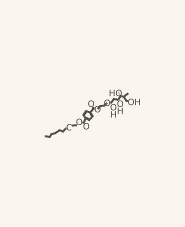 CCCCCCCCCCOC(=O)c1ccc(C(=O)OCCO[C@@H](O)CC(O)[C@H](O)C(C)CO)cc1